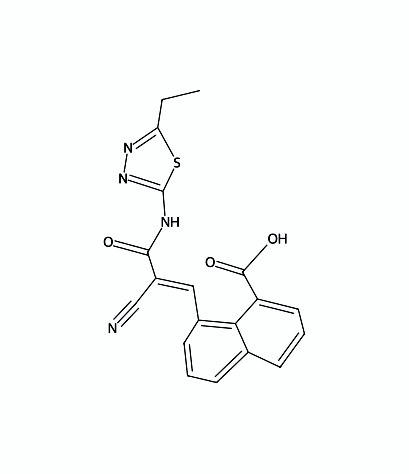 CCc1nnc(NC(=O)/C(C#N)=C/c2cccc3cccc(C(=O)O)c23)s1